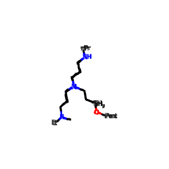 CCCNCCCN(CCCN(C)CC)CC[SiH2]OC(C)CCC